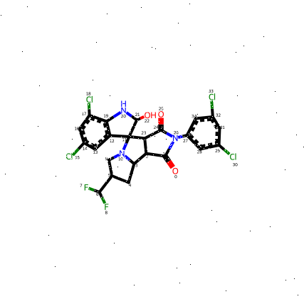 O=C1C2C3CC(C(F)F)CN3C3(c4cc(Cl)cc(Cl)c4NC3O)C2C(=O)N1c1cc(Cl)cc(Cl)c1